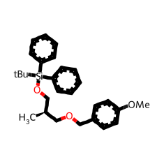 COc1ccc(COC[C@@H](C)CO[Si](c2ccccc2)(c2ccccc2)C(C)(C)C)cc1